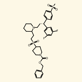 CS(=O)(=O)c1ccc([C@@H](CCN2CCCCC2CCS(=O)(=O)C2CCN(C(=O)OCc3ccccc3)CC2)c2cc(F)cc(F)c2)cc1